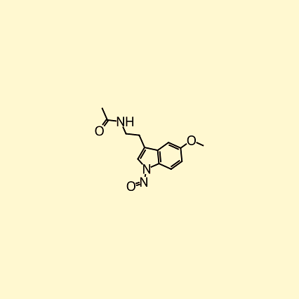 COc1ccc2c(c1)c(CCNC(C)=O)cn2N=O